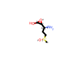 C[S+]([O-])CC[C@H](N)C1OC1O